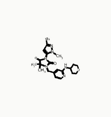 Cn1nc(C(C)(C)C)cc1N1C(=O)N(Cc2ccnc(NC3CCOCC3)c2)C(C)(C)C1=O